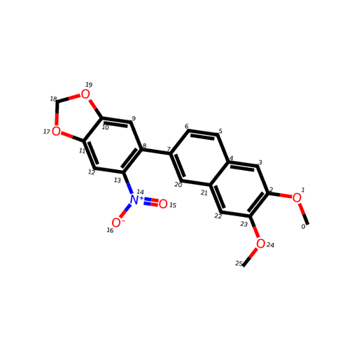 COc1cc2ccc(-c3cc4c(cc3[N+](=O)[O-])OCO4)cc2cc1OC